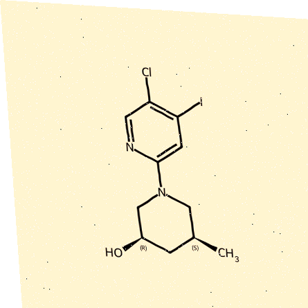 C[C@H]1C[C@@H](O)CN(c2cc(I)c(Cl)cn2)C1